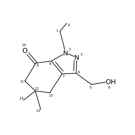 CCn1nc(CO)c2c1C(=O)CC(C)(C)C2